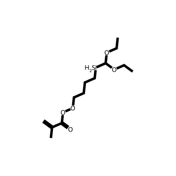 C=C(C)C(=O)OOCCCC[SiH2]C(OCC)OCC